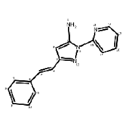 Nc1cc(/C=C/c2ccccc2)nn1-c1ccccn1